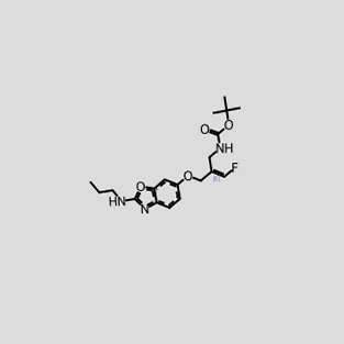 CCCNc1nc2ccc(OC/C(=C/F)CNC(=O)OC(C)(C)C)cc2o1